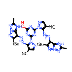 [C-]#[N+]c1cnn(-c2nc(O)nc(-n3ncc(C#N)c3/N=N/c3c(C(C)(C)C)nn4nc(C)[nH]c34)n2)c1/N=N/c1c(C(C)(C)C)nn2nc(C)[nH]c12